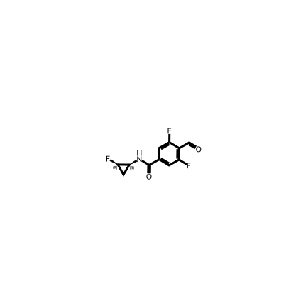 O=Cc1c(F)cc(C(=O)N[C@H]2C[C@H]2F)cc1F